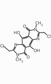 Cn1c(CCl)nc2c(O)c3c(=O)n(C)c(CCl)nc3c(O)c2c1=O